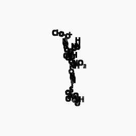 CC1(C)CCC(CN2CCN(c3ccc(C(=O)NS(=O)(=O)c4ccc(NCC5CCC(N6CCN(CCCCSc7cccc8c7CN(C7CCC(=O)NC7=O)C8=O)CC6)CC5)c([N+](=O)[O-])c4)c(Oc4cnc5[nH]ccc5c4)c3)CC2)=C(c2ccc(Cl)cc2)C1